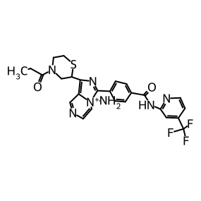 CCC(=O)N1CCSC(C2=C3C=NC=C[N+]3(N)C(c3ccc(C(=O)Nc4cc(C(F)(F)F)ccn4)cc3)=N2)C1